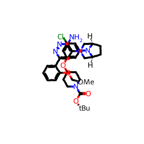 COCOc1ccccc1-c1cc(N2C[C@H]3CC[C@@H](C2)N3c2cc(Cl)cc(OC3CCN(C(=O)OC(C)(C)C)CC3)c2)c(N)nn1